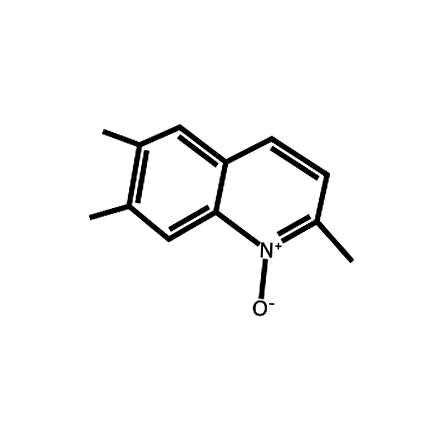 Cc1cc2ccc(C)[n+]([O-])c2cc1C